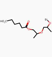 CCOC(C)COC(C)COC(=O)CCCCC(=O)O